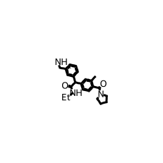 CCNC(=O)C(c1cccc(CN)c1)c1ccc(C(=O)N2CCCC2)c(C)c1